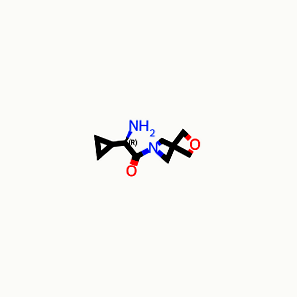 N[C@@H](C(=O)N1CC2(COC2)C1)C1CC1